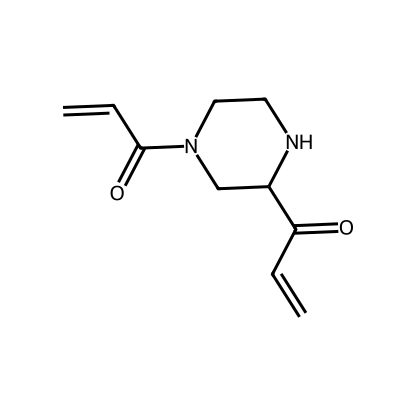 C=CC(=O)C1CN(C(=O)C=C)CCN1